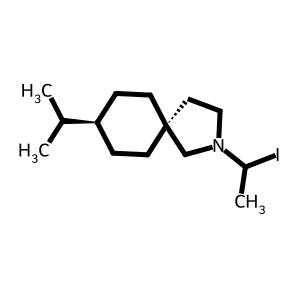 CC(I)N1CC[C@]2(CC[C@H](C(C)C)CC2)C1